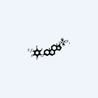 C[C@]12CCC(Oc3c(F)c(F)c(C(F)(F)F)c(F)c3F)=CC1=CCC1C2CC[C@]2(C)C(OS(=O)(=O)C(F)(F)F)=CCC12